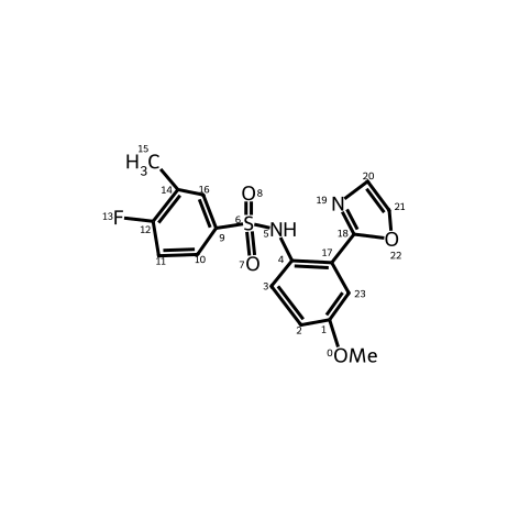 COc1ccc(NS(=O)(=O)c2ccc(F)c(C)c2)c(-c2ncco2)c1